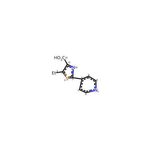 CCc1sc(-c2ccncc2)nc1C(=O)O